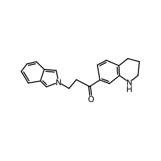 O=C(CCn1cc2ccccc2c1)c1ccc2c(c1)NCCC2